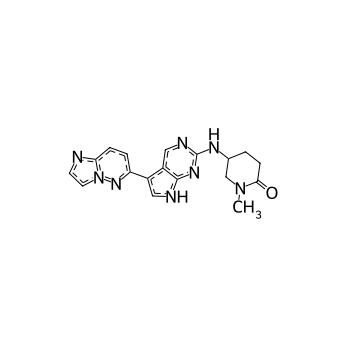 CN1CC(Nc2ncc3c(-c4ccc5nccn5n4)c[nH]c3n2)CCC1=O